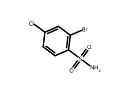 NS(=O)(=O)c1ccc(Cl)cc1Br